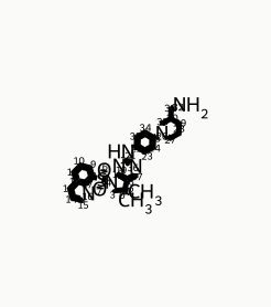 CC1(C)CN(S(=O)(=O)c2cccc3cccnc23)c2nc(Nc3ccc(N4CCCC(CN)C4)cc3)ncc21